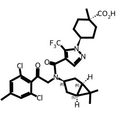 Cc1cc(Cl)c(C(=O)CN(C(=O)c2cnn([C@H]3CC[C@](C)(C(=O)O)CC3)c2C(F)(F)F)[C@H]2C[C@@H]3[C@H](C2)C3(C)C)c(Cl)c1